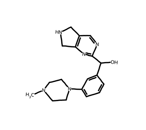 CN1CCN(c2cccc(C(O)c3ncc4c(n3)CNC4)c2)CC1